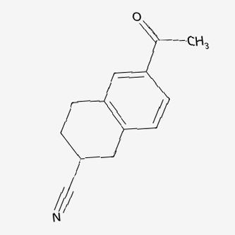 CC(=O)c1ccc2c(c1)CCC(C#N)C2